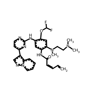 C=C/C=C\C(=O)Nc1cc(Nc2nccc(-c3cnn4ccccc34)n2)c(OC(F)F)cc1N(C)CCN(C)C